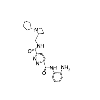 Nc1ccccc1NC(=O)c1ccc(C(=O)NCC2CCN2C2CCCC2)nn1